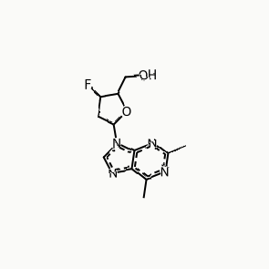 Cc1nc(C)c2ncn(C3CC(F)C(CO)O3)c2n1